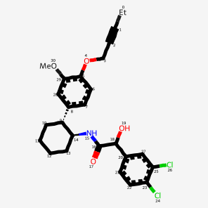 CCC#CCOc1ccc([C@H]2CCCC[C@@H]2NC(=O)C(O)c2ccc(Cl)c(Cl)c2)cc1OC